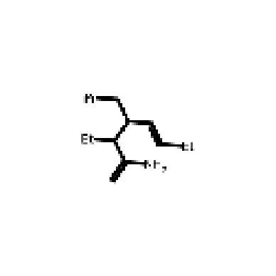 C=C(N)C(CC)C(/C=C/CC)CC(C)C